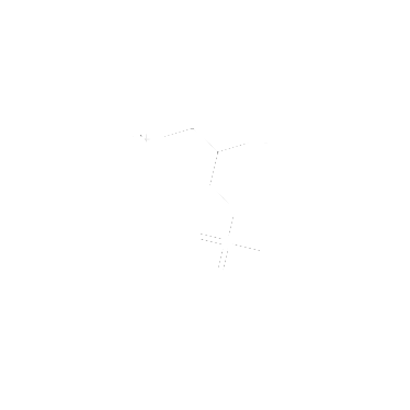 CCCCCCCCCCC(CCCCCCCC)COS(C)(=O)=O